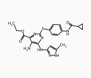 CCOC(=O)c1nc(Sc2ccc(NC(=O)C3CC3)cc2)nc(Nc2cc(C)[nH]n2)c1N